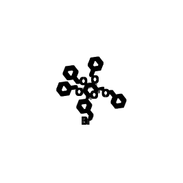 BrCc1cccc([C@@H]2O[C@H](COCc3ccccc3)[C@@H](OCc3ccccc3)[C@H](OCc3ccccc3)[C@H]2OCc2ccccc2)c1